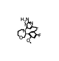 COc1cc(F)c(F)cc1[C@H]1COCCCN1c1cc(C)nc(N)n1